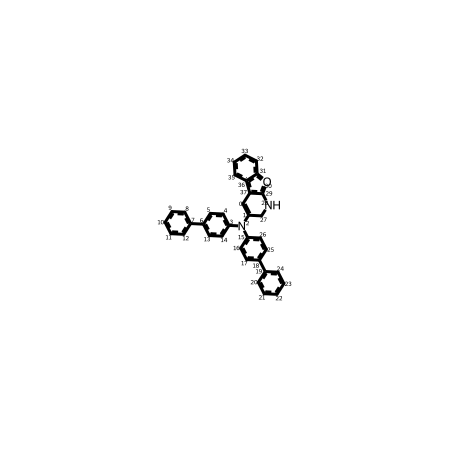 C1=C(N(c2ccc(-c3ccccc3)cc2)c2ccc(-c3ccccc3)cc2)CNc2oc3ccccc3c21